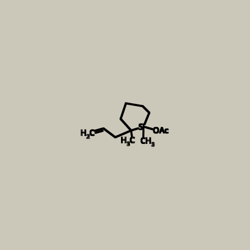 C=CCC1(C)CCCC[Si]1(C)OC(C)=O